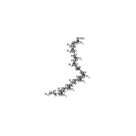 CC(=O)Nc1cc(C(=O)Nc2cc(C(=O)Nc3cc(C(=O)NCCC(=O)Nc4cn(C)c(C(=O)Nc5cc(C(=O)Nc6cc(C(=O)NCCCC(=O)Nc7cn(C)c(C(=O)Nc8cn(C)c(C(=O)Nc9cc(C(=O)NCCC(=O)Nc%10cn(C)c(C(=O)Nc%11cc(C(=O)Nc%12cn(C)c(C(=O)NCCC(=O)NCCCN(C)C)n%12)n(C)c%11)n%10)n(C)c9)n8)n7)n(C)c6)n(C)c5)n4)n(C)c3)n(C)c2)n(C)c1